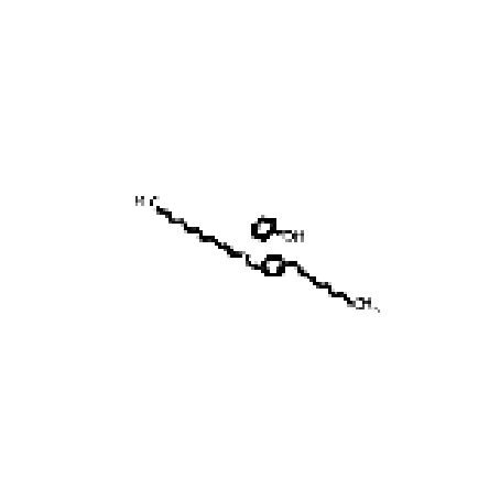 CCCCCCCCCCCCSCc1ccc(CCCCCCCCC)cc1.Oc1ccccc1